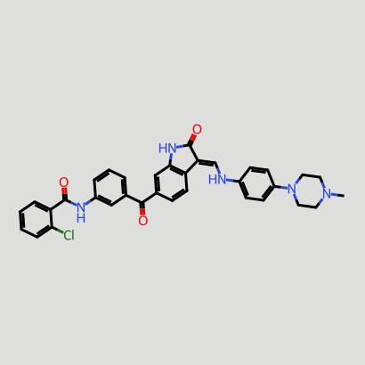 CN1CCN(c2ccc(N/C=C3/C(=O)Nc4cc(C(=O)c5cccc(NC(=O)c6ccccc6Cl)c5)ccc43)cc2)CC1